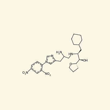 NC(CN[C@@H](CC1CCCCC1)[C@@H](O)[C@@H]1CCCO1)Cc1cn(-c2ccc([N+](=O)[O-])cc2[N+](=O)[O-])cn1